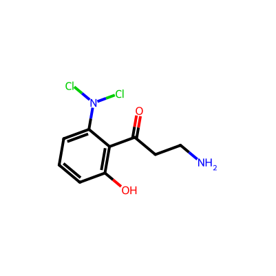 NCCC(=O)c1c(O)cccc1N(Cl)Cl